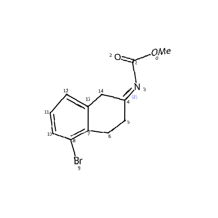 COC(=O)/N=C1/CCc2c(Br)cccc2C1